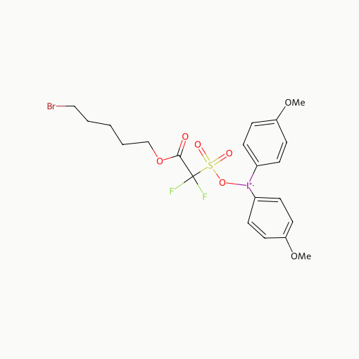 COc1ccc([I+](OS(=O)(=O)C(F)(F)C(=O)OCCCCCBr)c2ccc(OC)cc2)cc1